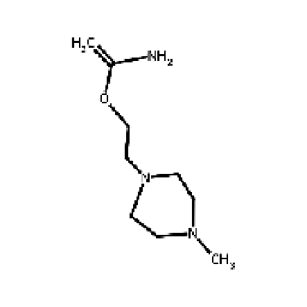 C=C(N)OCCN1CCN(C)CC1